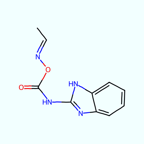 CC=NOC(=O)Nc1nc2ccccc2[nH]1